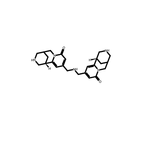 O=c1cc(CNCc2cc3n(c(=O)c2)CC2CNC[C@@H]3C2)cc2n1CC1CNC[C@@H]2C1